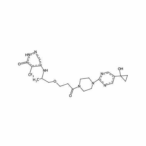 CC(COCCC(=O)N1CCN(c2ncc(C3(O)CC3)cn2)CC1)Nc1cn[nH]c(=O)c1C(F)(F)F